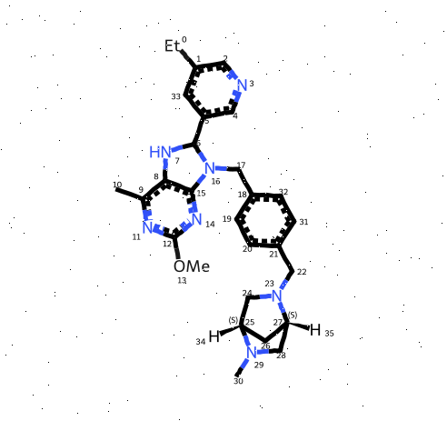 CCc1cncc(C2Nc3c(C)nc(OC)nc3N2Cc2ccc(CN3C[C@@H]4C[C@H]3CN4C)cc2)c1